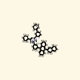 C=C(/N=C(\N=C\c1cccc(C2=CN=CCC2)c1)c1cccc(-c2c3ccccc3c(-c3ccc4ccccc4c3)c3ccccc23)c1)C1=CC=CCC1